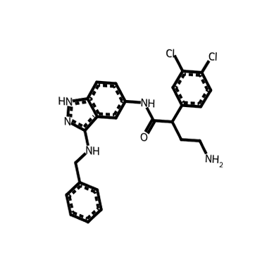 NCCC(C(=O)Nc1ccc2[nH]nc(NCc3ccccc3)c2c1)c1ccc(Cl)c(Cl)c1